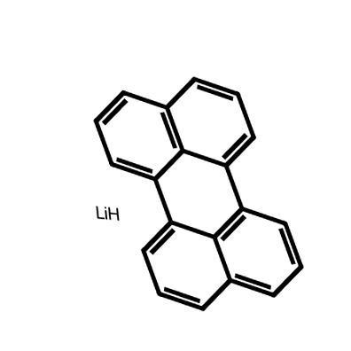 [LiH].c1cc2cccc3c4cccc5cccc(c(c1)c23)c54